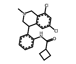 CN1Cc2c(Cl)cc(Cl)cc2C(c2ccccc2NC(=O)C2CCC2)C1